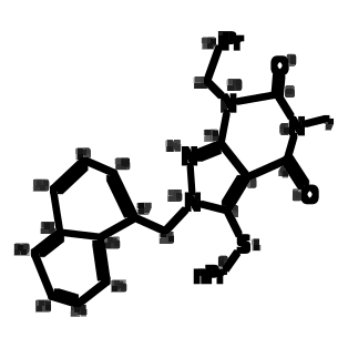 CCCSc1c2c(=O)n(C)c(=O)n(CC(C)C)c2nn1Cc1cccc2ccccc12